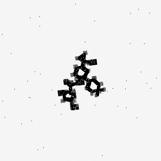 CC1(C)CC=C(c2cc(C3(C#N)CC3)ccc2NC(=O)c2nc(C#N)c[nH]2)CC1